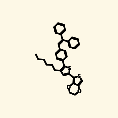 CCCCCCc1cc(-c2scc3c2OCCO3)sc1-c1ccc(C=C(c2ccccc2)c2ccccc2)cc1